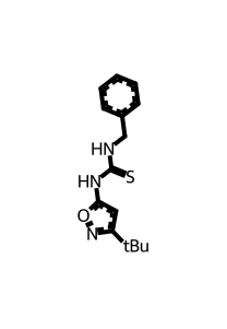 CC(C)(C)c1cc(NC(=S)NCc2ccccc2)on1